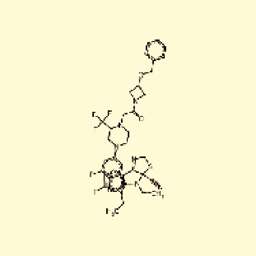 CCN(c1c2cc(N3CCN(CC(=O)N4CC(OCc5ccccc5)C4)C(C(F)(F)F)C3)cc(F)c2nn1CC)C1(C#N)SCN=C1c1ccc(F)cc1